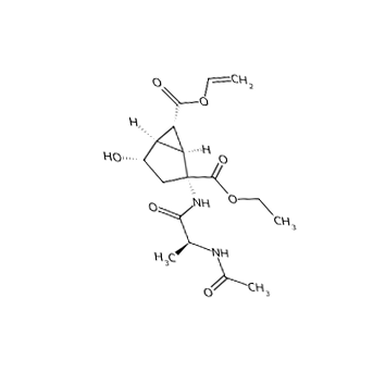 C=COC(=O)[C@H]1[C@H]2[C@@H]1[C@@](NC(=O)[C@H](C)NC(C)=O)(C(=O)OCC)C[C@@H]2O